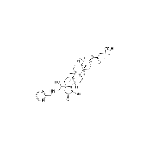 CC(C)C1=C2[C@H]3CC[C@@H]4[C@@]5(C)CC[C@H](OC(=O)CC(C)(C)C(=O)O)C(C)(C)[C@@H]5CC[C@@]4(C)[C@]3(C)CCC2(C(O)CNCc2ncccn2)CC1=O